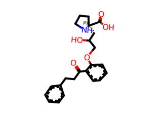 O=C(CCc1ccccc1)c1ccccc1OCC(O)C[C@@]1(C(=O)O)CCCN1